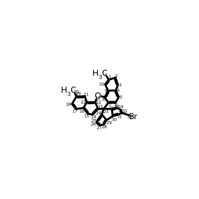 Cc1ccc2ccc3c(c2c1)Oc1c(ccc2ccc(C)cc12)C31c2ccccc2-c2cc(Br)ccc21